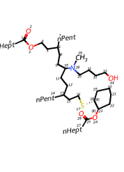 CCCCCCCC(=O)OCCC(CCCCC)CCC(CCC(CCCCC)CCS[C@@H]1CCCC[C@H]1OC(=O)CCCCCCC)N(C)CCCCO